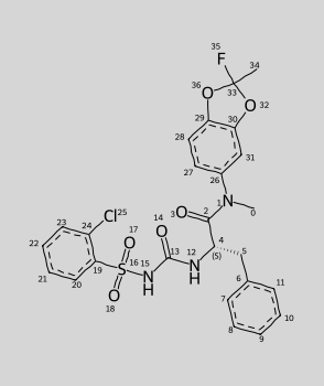 CN(C(=O)[C@H](Cc1ccccc1)NC(=O)NS(=O)(=O)c1ccccc1Cl)c1ccc2c(c1)OC(C)(F)O2